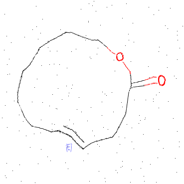 O=C1CC/C=C/CCCCCCO1